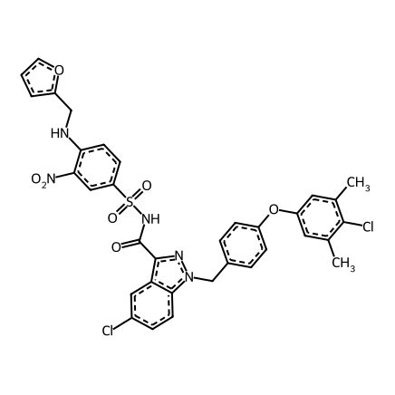 Cc1cc(Oc2ccc(Cn3nc(C(=O)NS(=O)(=O)c4ccc(NCc5ccco5)c([N+](=O)[O-])c4)c4cc(Cl)ccc43)cc2)cc(C)c1Cl